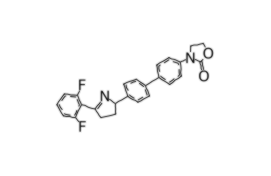 O=C1OCCN1c1ccc(-c2ccc(C3CCC(c4c(F)cccc4F)=N3)cc2)cc1